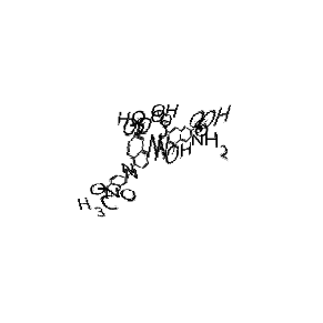 CN1C(=O)c2ccc(/N=N/c3ccc(/N=N/c4c(SOOO)cc5cc(S(=O)(=O)O)c(N)cc5c4O)c4cc(S(=O)(=O)O)ccc34)cc2C1=O